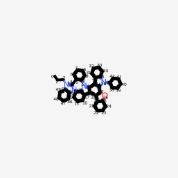 CCCn1c(-c2ccccc2-n2c3ccccc3c3c4c5ccccc5oc4c4c(c5ccccc5n4-c4ccccc4)c32)nc2ccccc21